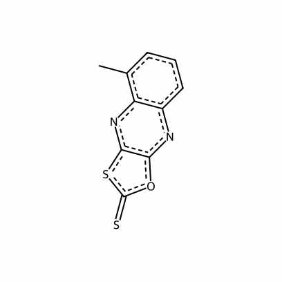 Cc1cccc2nc3oc(=S)sc3nc12